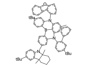 Cc1cc2c3c(c1)N(c1cccc4oc5ccccc5c14)c1cc(C(C)(C)C)ccc1B3c1ccc(N3c4ccc(C(C)(C)C)cc4C4(C)CCCCC34C)cc1N2c1ccc(C(C)(C)C)cc1-c1ccccc1